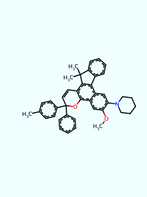 COc1cc2c3c(c4c(c2cc1N1CCCCC1)-c1ccccc1C4(C)C)C=CC(c1ccccc1)(c1ccc(C)cc1)O3